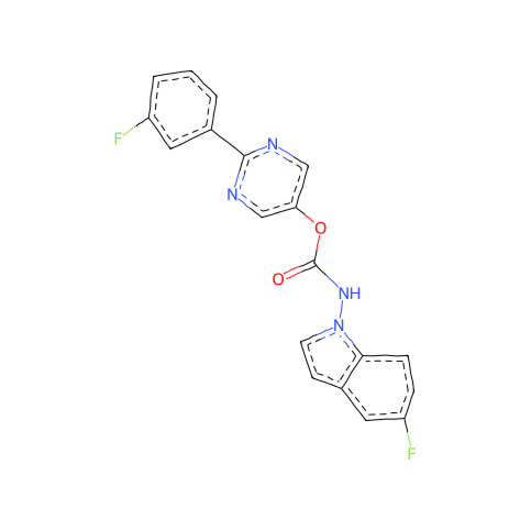 O=C(Nn1ccc2cc(F)ccc21)Oc1cnc(-c2cccc(F)c2)nc1